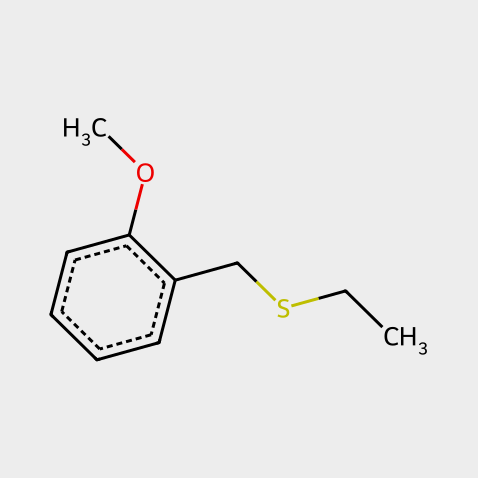 CCSCc1ccccc1OC